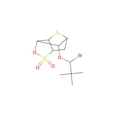 CC(C)(C)C(Br)OC1C2CC3C(S2)C1OS3(=O)=O